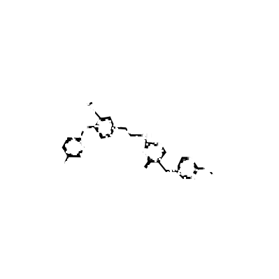 [C-]#[N+]c1cc(CCNc2nc(=O)c(Cc3cnc(OC)nc3)c[nH]2)ccc1Oc1ccc(C)cn1